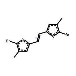 Cc1cc(/C=C/c2cc(C)c(Br)s2)sc1Br